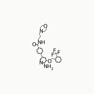 Nc1ncc(-c2ccc(C(=O)NCCCN3CCOCC3)cc2)cc1OCc1ccccc1C(F)(F)F